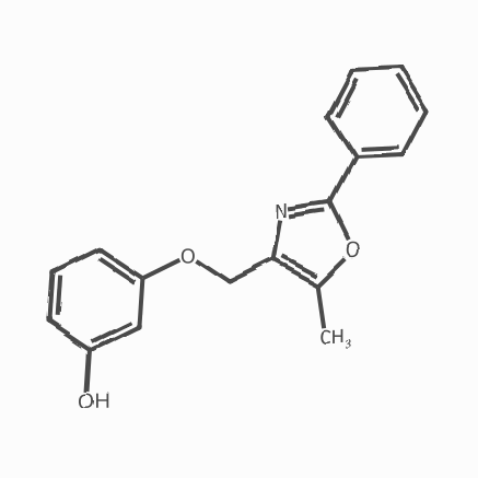 Cc1oc(-c2ccccc2)nc1COc1cccc(O)c1